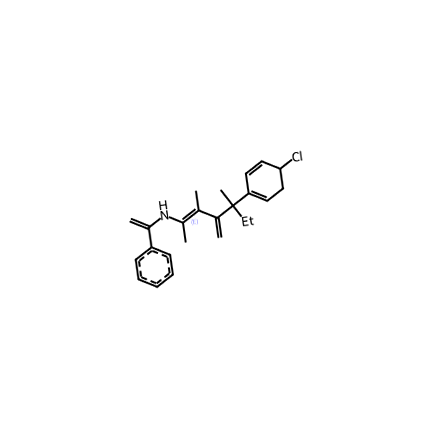 C=C(N/C(C)=C(\C)C(=C)C(C)(CC)C1=CCC(Cl)C=C1)c1ccccc1